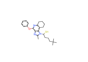 Cc1nc2c(Oc3ccccc3)nc3c(c2n1C(S)CCCC(C)(C)C)CCCC3